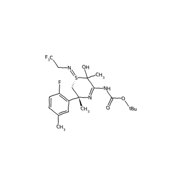 Cc1ccc(F)c([C@]2(C)C/[S@](=N\CC(F)(F)F)C(C)(O)C(NC(=O)OC(C)(C)C)=N2)c1